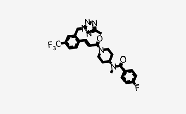 Cc1nnn(Cc2cc(C(F)(F)F)ccc2C=CC(=O)N2CCC(N(C)C(=O)c3ccc(F)cc3)CC2)n1